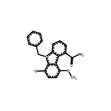 COc1ccc(Cl)c2c1c1c(C(N)=O)cccc1n2Cc1ccccc1